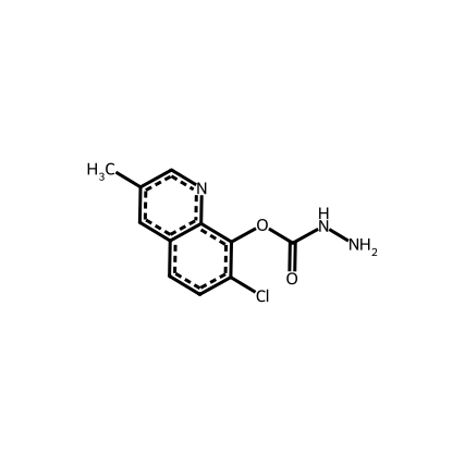 Cc1cnc2c(OC(=O)NN)c(Cl)ccc2c1